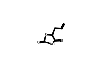 C=CCC1SC(=O)NC1=S